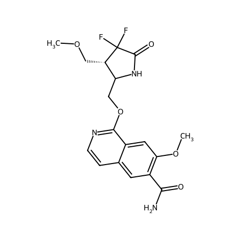 COC[C@H]1C(COc2nccc3cc(C(N)=O)c(OC)cc23)NC(=O)C1(F)F